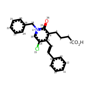 O=C(O)CCCc1c(C=Cc2ccccc2)c(Cl)cn(Cc2ccccc2)c1=O